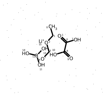 CCOC[O-].O=C(O)C(=O)O.OB(O)O.[Li+]